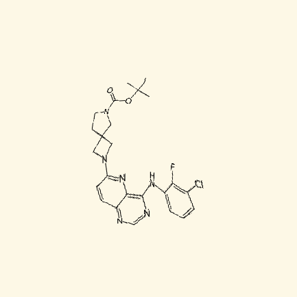 CC(C)(C)OC(=O)N1CCC2(C1)CN(c1ccc3ncnc(Nc4cccc(Cl)c4F)c3n1)C2